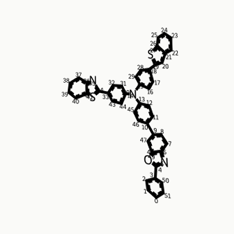 c1ccc(-c2nc3ccc(-c4ccc(N(c5ccc(-c6cc7ccccc7s6)cc5)c5ccc(-c6nc7ccccc7s6)cc5)cc4)cc3o2)cc1